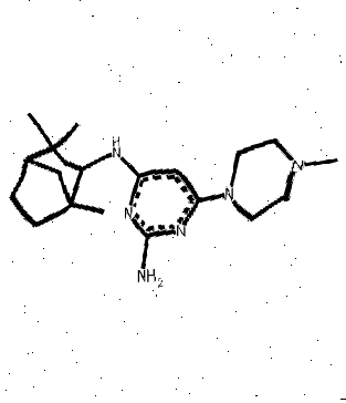 CN1CCN(c2cc(NC3C4(C)CCC(C4)C3(C)C)nc(N)n2)CC1